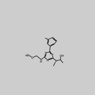 CCCCOCNc1nc(-c2cccc(C)c2)nc(N(C)C(C)O)n1